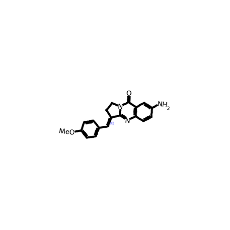 COc1ccc(/C=C2\CCn3c2nc2ccc(N)cc2c3=O)cc1